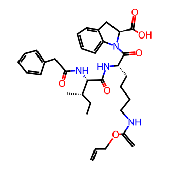 C=CCOC(=C)NCCCC[C@H](NC(=O)[C@@H](NC(=O)Cc1ccccc1)[C@@H](C)CC)C(=O)N1c2ccccc2C[C@H]1C(=O)O